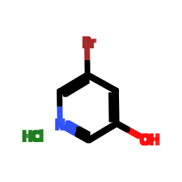 Cl.Oc1cncc(Br)c1